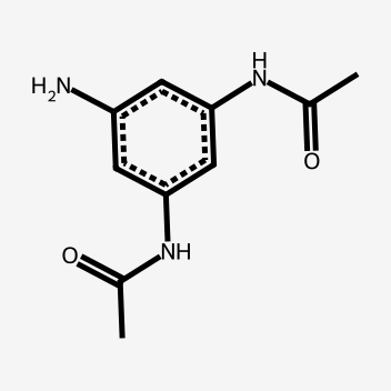 CC(=O)Nc1cc(N)cc(NC(C)=O)c1